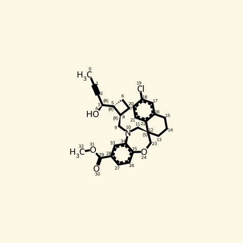 CC#C[C@H](O)[C@@H]1CC[C@H]1CN1C[C@@]2(CCCc3cc(Cl)ccc32)COc2ccc(C(=O)OC)cc21